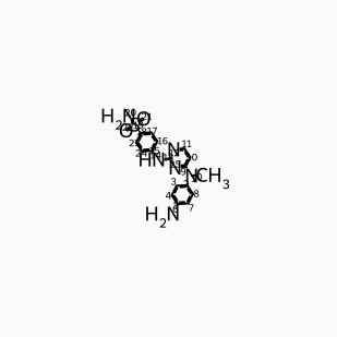 CN(c1ccc(N)cc1)c1ccnc(Nc2ccc(S(N)(=O)=O)cc2)n1